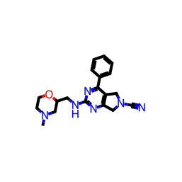 CN1CCOC(CNc2nc3c(c(-c4ccccc4)n2)CN(C#N)C3)C1